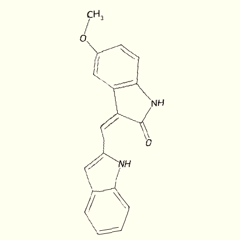 COc1ccc2c(c1)/C(=C/c1cc3ccccc3[nH]1)C(=O)N2